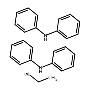 C[CH2][Al].c1ccc(Nc2ccccc2)cc1.c1ccc(Nc2ccccc2)cc1